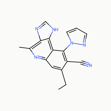 CCc1cc2nc(C)c3nc[nH]c3c2c(-n2cccn2)c1C#N